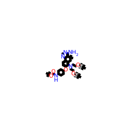 CC(C)(C)OC(=O)N[C@H]1CC[C@H](Oc2ccc3c(c2N(CCO[Si](C)(C)C(C)(C)C)CCO[Si](C)(C)C(C)(C)C)CC(C)(C)c2c(N)ncnc2-3)CC1